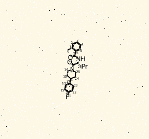 Cc1ccccc1C(=O)N[C@@H](C(=O)N1CCC(c2ccc(F)cc2)CC1)C(C)C